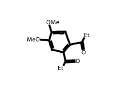 CCC(=O)c1cc(OC)c(OC)cc1C(=O)CC